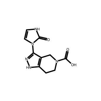 O=C(O)N1CCc2[nH]nc(-n3cc[nH]c3=O)c2C1